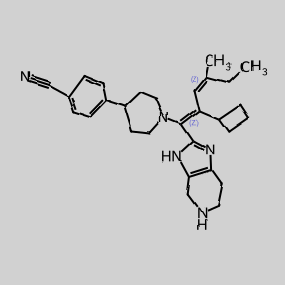 CC/C(C)=C\C(=C(\c1nc2c([nH]1)CNCC2)N1CCC(c2ccc(C#N)cc2)CC1)C1CCC1